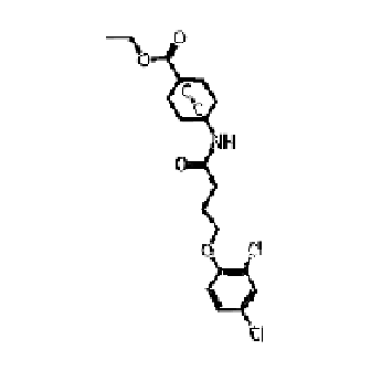 CCOC(=O)C12CCC(NC(=O)CCCOc3ccc(Cl)cc3Cl)(CC1)CC2